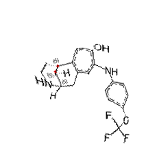 Oc1cc2c(cc1Nc1ccc(OC(F)(F)F)cc1)C[C@@H]1NCC[C@]23CCCC[C@H]13